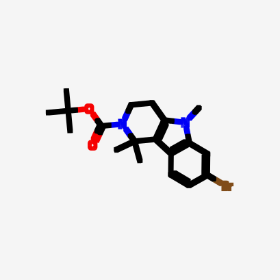 Cn1c2c(c3ccc(Br)cc31)C(C)(C)N(C(=O)OC(C)(C)C)CC2